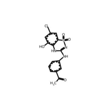 CC(=O)c1cccc(NC2=NS(=O)(=O)c3cc(Cl)cc(O)c3N2)c1